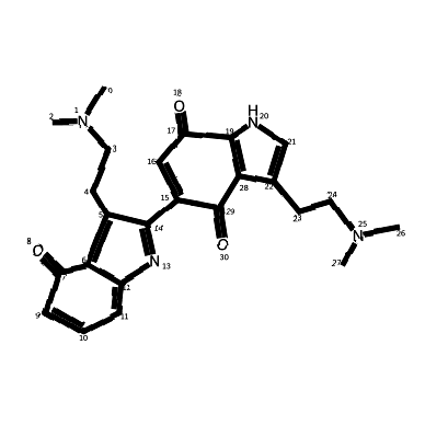 CN(C)CCC1=C2C(=O)C=CC=C2N=C1C1=CC(=O)c2[nH]cc(CCN(C)C)c2C1=O